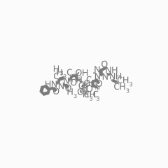 CC[C@H]1O[C@@H](n2cnc3c(=O)[nH]c(NCC(C)C)nc32)C(C)[C@H]1OP(=O)(OC[C@H]1O[C@@H](n2cc(C)c(NC(=O)c3ccccc3)nc2=O)C(C)[C@H]1O)N(C)C